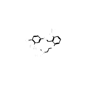 CCOc1cccc(OCCN(C)C)c1C=Nc1ccc(Cl)c(C(F)(F)F)c1